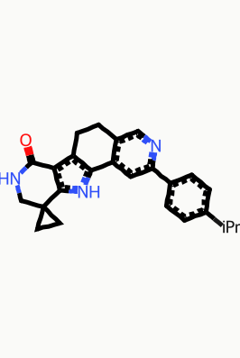 CC(C)c1ccc(-c2cc3c(cn2)CCc2c-3[nH]c3c2C(=O)NCC32CC2)cc1